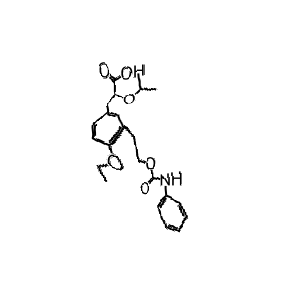 CCOc1ccc(CC(OC(C)C)C(=O)O)cc1CCOC(=O)Nc1ccccc1